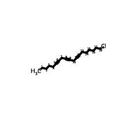 CCCCCC#CCC#CCC#CCCCCCCCl